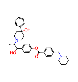 C[C@@H]([C@H](O)c1ccc(OC(=O)c2ccc(CN3CCCCC3)cc2)cc1)N1CCC(O)(c2ccccc2)CC1